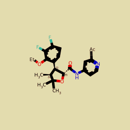 CCOc1c([C@H]2[C@H](C(=O)Nc3ccnc(C(C)=O)c3)OC(C)(C)[C@H]2C)ccc(F)c1F